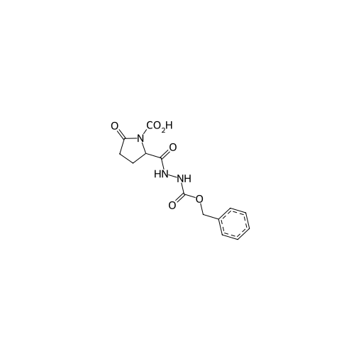 O=C(NNC(=O)C1CCC(=O)N1C(=O)O)OCc1ccccc1